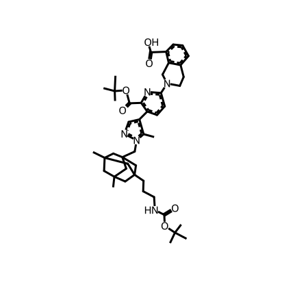 Cc1c(-c2ccc(N3CCc4cccc(C(=O)O)c4C3)nc2C(=O)OC(C)(C)C)cnn1CC12CC3(C)CC(C)(CC(CCCNC(=O)OC(C)(C)C)(C3)C1)C2